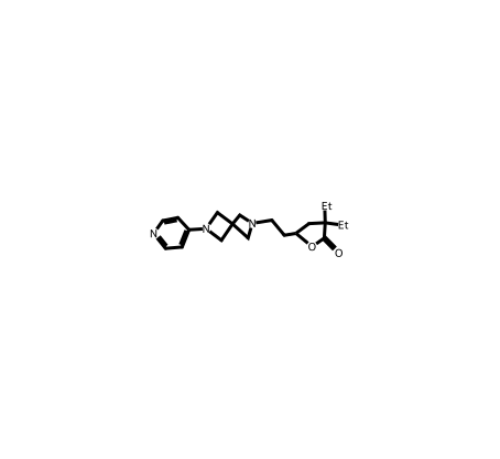 CCC1(CC)CC(CCN2CC3(C2)CN(c2ccncc2)C3)OC1=O